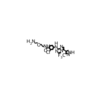 NCCOCCNC(=O)c1ccc(Nc2nccn3c(-c4c[nH]nc4C(F)(F)F)cnc23)cc1Cl